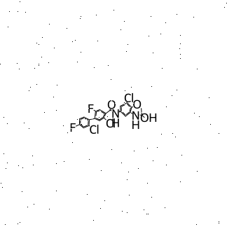 O=C(Nc1cc(Cl)c2c(c1)NC(O)CO2)c1cc(F)c(-c2ccc(F)cc2Cl)cc1Cl